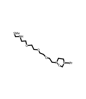 CSCNCCOCCOCCOCCN1CCN(C(C)C)CC1